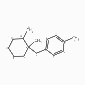 Cc1ccc(CC2(C)CCCCC2C)cc1